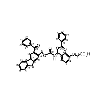 O=C(O)COc1cccc(C(NC(=O)OCc2cc3c(cc2C(=O)c2ccccc2)-c2ccccc2C3)OC(=O)c2ccccc2)c1